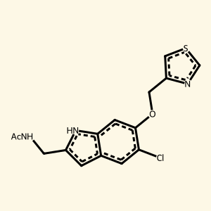 [CH2]C(=O)NCc1cc2cc(Cl)c(OCc3cscn3)cc2[nH]1